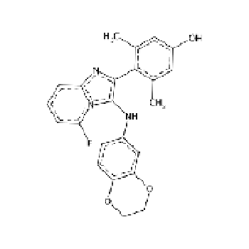 Cc1cc(O)cc(C)c1-c1nc2cccc(F)n2c1Nc1ccc2c(c1)OCCO2